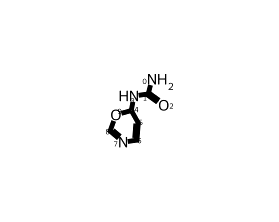 NC(=O)NC1C=CN=CO1